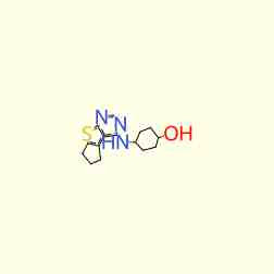 OC1CCC(Nc2ncnc3sc4c(c23)CCC4)CC1